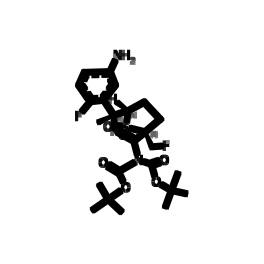 CC(C)(C)OC(=O)N(C(=O)OC(C)(C)C)C1=N[C@](C)(c2cc(N)ccc2F)[C@@H]2CC[C@@]1(CF)S2(=O)=O